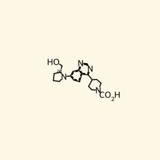 O=C(O)N1CCC(c2ncnc3cc(N4CCC[C@H]4CO)ccc23)CC1